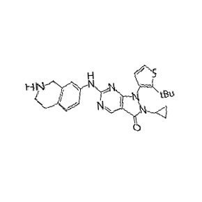 CC(C)(C)c1sccc1-n1c2nc(Nc3ccc4c(c3)CNCC4)ncc2c(=O)n1C1CC1